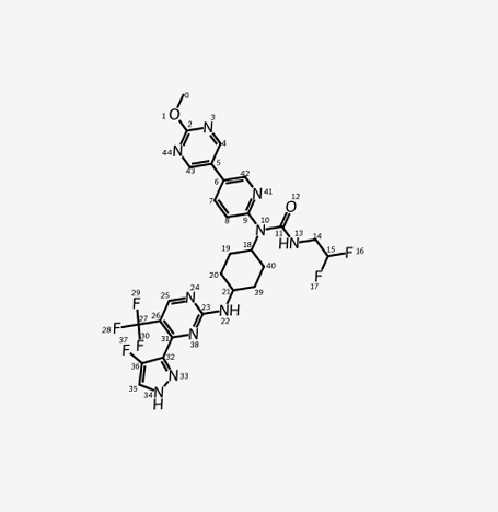 COc1ncc(-c2ccc(N(C(=O)NCC(F)F)C3CCC(Nc4ncc(C(F)(F)F)c(-c5n[nH]cc5F)n4)CC3)nc2)cn1